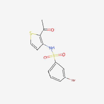 CC(=O)c1sccc1NS(=O)(=O)c1cccc(Br)c1